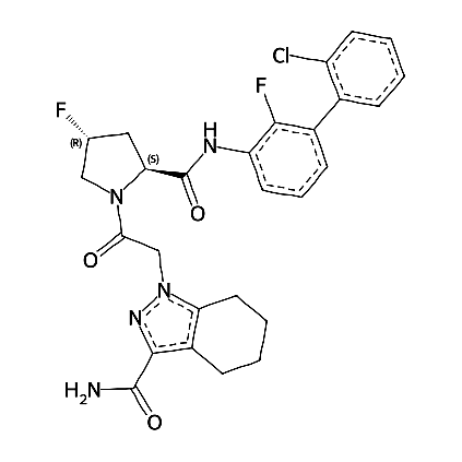 NC(=O)c1nn(CC(=O)N2C[C@H](F)C[C@H]2C(=O)Nc2cccc(-c3ccccc3Cl)c2F)c2c1CCCC2